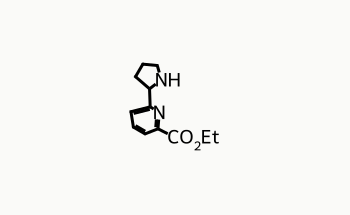 CCOC(=O)c1cccc(C2CCCN2)n1